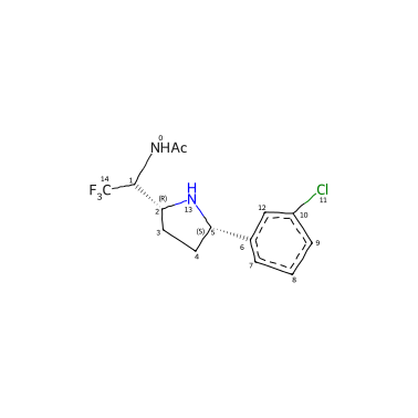 CC(=O)NC([C@H]1CC[C@@H](c2cccc(Cl)c2)N1)C(F)(F)F